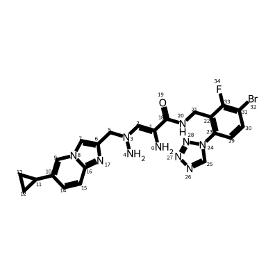 N/C(=C\N(N)Cc1cn2cc(C3CC3)ccc2n1)C(=O)NCc1c(-n2cnnn2)ccc(Br)c1F